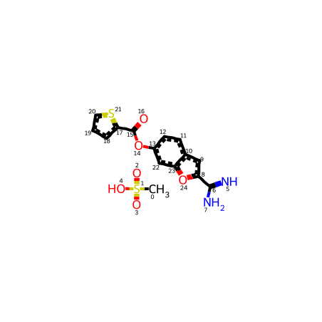 CS(=O)(=O)O.N=C(N)c1cc2ccc(OC(=O)c3cccs3)cc2o1